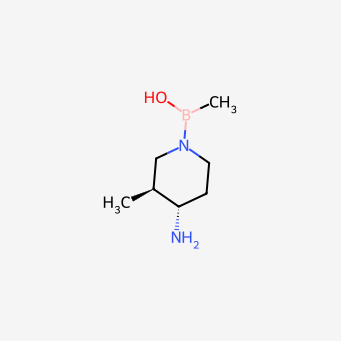 CB(O)N1CC[C@H](N)[C@@H](C)C1